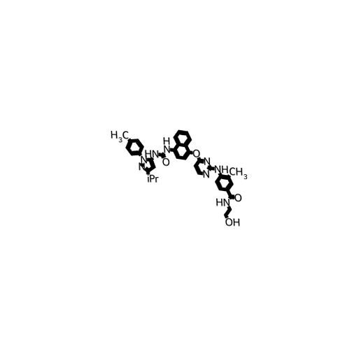 Cc1ccc(-n2nc(C(C)C)cc2NC(=O)Nc2ccc(Oc3ccnc(Nc4ccc(C(=O)NCCO)cc4C)n3)c3ccccc23)cc1